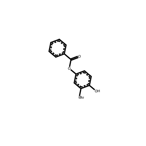 CC(C)(C)c1cc(OC(=O)c2ccccc2)ccc1O